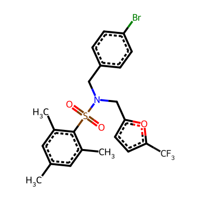 Cc1cc(C)c(S(=O)(=O)N(Cc2ccc(Br)cc2)Cc2ccc(C(F)(F)F)o2)c(C)c1